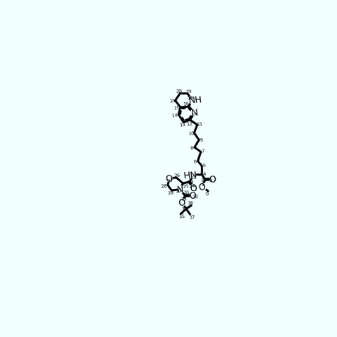 COC(=O)C(CCCCCCCc1ccc2c(n1)NCCC2)NC(=O)C1COCCN1C(=O)OC(C)(C)C